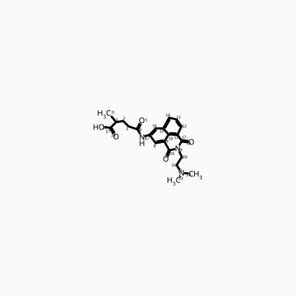 CC(CCC(=O)Nc1cc2c3c(cccc3c1)C(=O)N(CCN(C)C)C2=O)C(=O)O